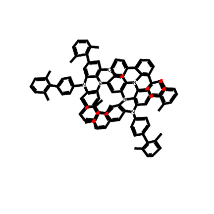 Cc1cccc(C)c1-c1ccc(N2c3ccc(-c4c(C)cccc4C)cc3B3c4cc5c(cc4Oc4cc(-c6c(C)cccc6C)cc2c43)N(c2c(-c3ccccc3)cccc2-c2ccccc2)c2cc(-c3c(C)cccc3C)cc3c2B5c2cc(-c4c(C)cccc4C)ccc2N3c2ccc(-c3c(C)cccc3C)cc2)cc1